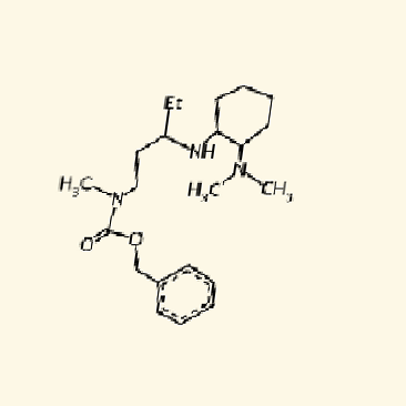 CCC(CCN(C)C(=O)OCc1ccccc1)NC1CCCCC1N(C)C